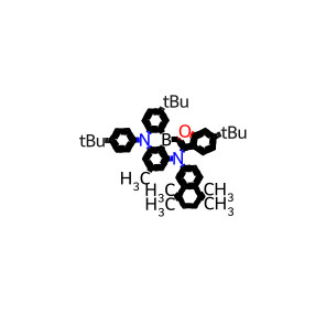 Cc1cc2c3c(c1)N(c1ccc4c(c1)C(C)(C)CCC4(C)C)c1c(oc4cc(C(C)(C)C)ccc14)B3c1cc(C(C)(C)C)ccc1N2c1ccc(C(C)(C)C)cc1